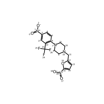 O=[N+]([O-])c1ccc(N2CCN(Cc3ccc([N+](=O)[O-])o3)CC2)c(C(F)(F)F)c1